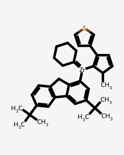 CC1C=CC(c2ccsc2)=[C]1[Zr](=[C]1CCCCC1)[c]1cc(C(C)(C)C)cc2c1Cc1ccc(C(C)(C)C)cc1-2